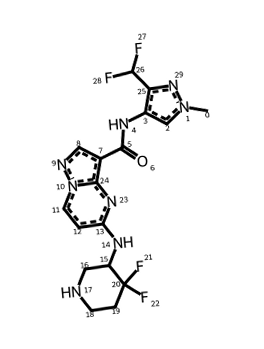 Cn1cc(NC(=O)c2cnn3ccc(NC4CNCCC4(F)F)nc23)c(C(F)F)n1